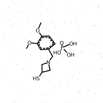 COc1ccc(CN2CC(S)C2)cc1OC.O=P(O)(O)O